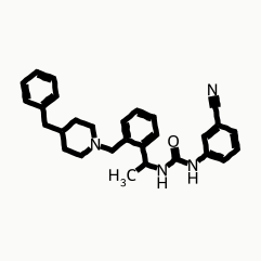 CC(NC(=O)Nc1cccc(C#N)c1)c1ccccc1CN1CCC(Cc2ccccc2)CC1